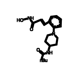 CCCCC(=O)NC1CCN(c2ccccc2C=CC(=O)NO)CC1